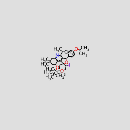 CC(C)Oc1ccc([C@H]2OC3(CCOCC3I)c3c4c(nc(C(C)C)c32)CC(C)(C)CC4O[Si](C)(C)C(C)(C)C)cc1